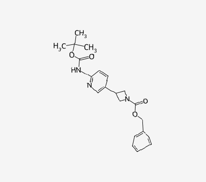 CC(C)(C)OC(=O)Nc1ccc(C2CN(C(=O)OCc3ccccc3)C2)cn1